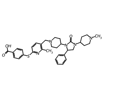 Cc1nc(Sc2ccc(C(=O)O)cc2)ccc1CN1CCC(N2C(=O)N(C3CCN(C)CC3)CC2c2ccccc2)CC1